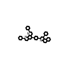 c1ccc(-c2ccc3cc(-c4ccc(-c5cc(-c6ccccc6)c6c(ccc7ccccc76)n5)cc4)c4ccc(-c5ccccc5)nc4c3n2)cc1